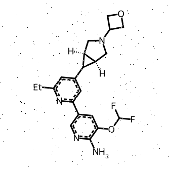 CCc1cc(C2[C@H]3CN(C4COC4)C[C@@H]23)cc(-c2cnc(N)c(OC(F)F)c2)n1